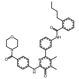 CCCCc1ccccc1C(=O)Nc1cccc(-c2nc(Nc3ccc(C(=O)N4CCOCC4)cc3)c(=O)n(C)c2C)c1